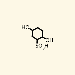 O=S(=O)(O)C1CC(O)CCC1O